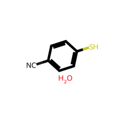 N#Cc1ccc(S)cc1.O